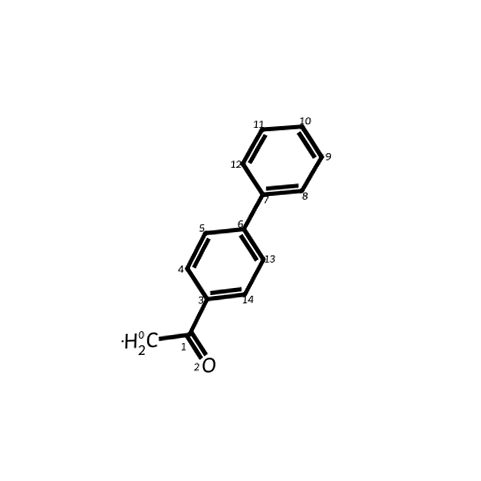 [CH2]C(=O)c1ccc(-c2ccccc2)cc1